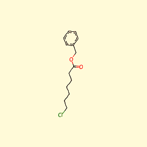 O=C(CCCCCCCl)OCc1ccccc1